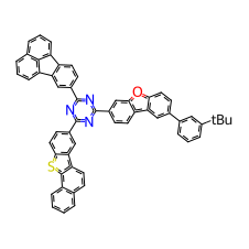 CC(C)(C)c1cccc(-c2ccc3oc4cc(-c5nc(-c6ccc7c(c6)-c6cccc8cccc-7c68)nc(-c6ccc7sc8c9ccccc9ccc8c7c6)n5)ccc4c3c2)c1